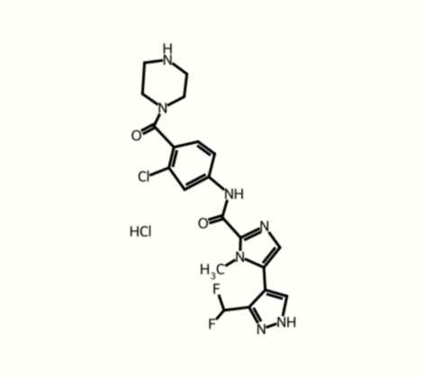 Cl.Cn1c(-c2c[nH]nc2C(F)F)cnc1C(=O)Nc1ccc(C(=O)N2CCNCC2)c(Cl)c1